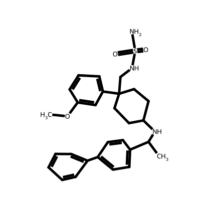 COc1cccc(C2(CNS(N)(=O)=O)CCC(NC(C)c3ccc(-c4ccccc4)cc3)CC2)c1